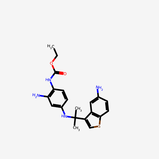 CCOC(=O)Nc1ccc(NC(C)(C)c2csc3ccc(N)cc23)cc1N